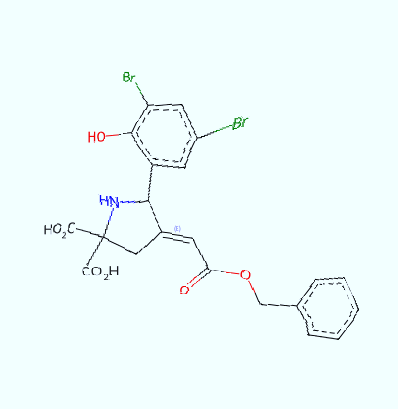 O=C(/C=C1\CC(C(=O)O)(C(=O)O)NC1c1cc(Br)cc(Br)c1O)OCc1ccccc1